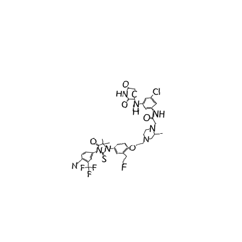 CC1CN(CCOc2ccc(N3C(=S)N(c4ccc(C#N)c(C(F)(F)F)c4)C(=O)C3(C)C)cc2CCF)CCN1CC(=O)Nc1cc(Cl)cc(NC2CCC(=O)NC2=O)c1